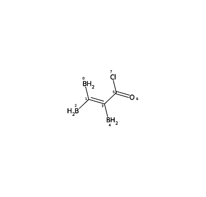 BC(B)=C(B)C(=O)Cl